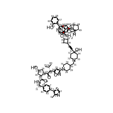 Cc1ncsc1-c1ccc([C@H](C)NC(=O)[C@@H]2C[C@@H](O)CN2C(=O)[C@@H](c2cc(N3CCC(CN4CCC(O)(C#CC5CC(Oc6cc(N7C8CC[C@@H]7CN(c7cc(-c9ccccc9O)nnc7N)C8)ccn6)C5)CC4)CC3)no2)C(C)C)cc1